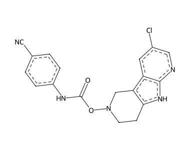 N#Cc1ccc(NC(=O)ON2CCc3[nH]c4ncc(Cl)cc4c3C2)cc1